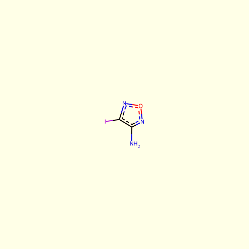 Nc1nonc1I